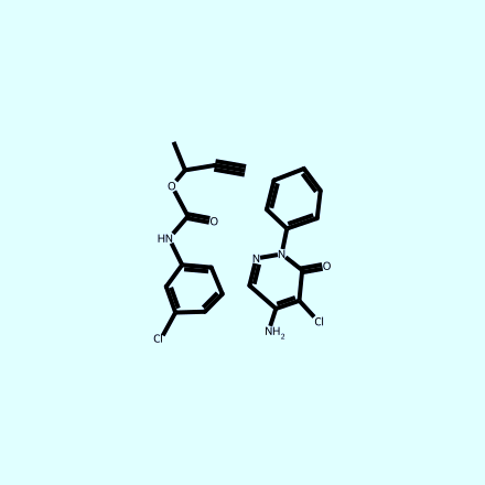 C#CC(C)OC(=O)Nc1cccc(Cl)c1.Nc1cnn(-c2ccccc2)c(=O)c1Cl